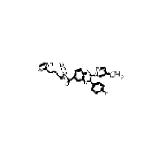 Cc1cnn(-c2nc3ccc(C(=O)NCCCc4ncc[nH]4)cc3nc2-c2ccc(F)cc2)c1